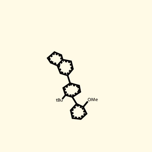 COc1ccccc1-c1ccc(-c2ccc3ccccc3c2)cc1C(C)(C)C